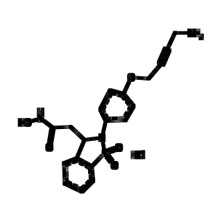 Cl.NCC#CCOc1ccc(N2C(CC(=O)NO)c3ccccc3S2(=O)=O)cc1